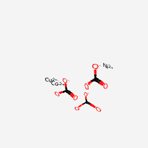 O=C([O-])[O-].O=C([O-])[O-].O=C([O-])[O-].[Co+2].[Cu+2].[Ni+2]